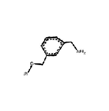 CC(C)OCc1cccc(CN)c1